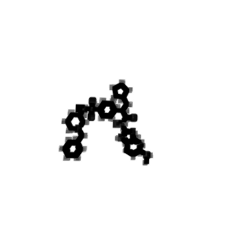 COc1ccc2nc(NC(=O)C(CC3CCCC3)c3ccc(S(=O)(=O)NC4CCCN(Cc5ccccc5)C4)cc3)sc2n1